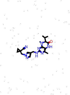 Cc1nc(NCc2cnn(CC3(C#N)CC3)c2)nc2c1NC(=O)C(C(C)C)N2C